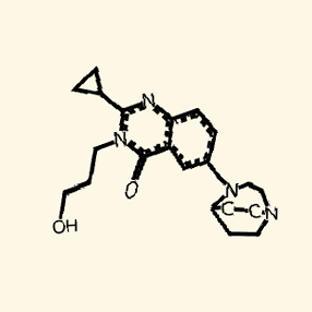 O=c1c2cc(N3CCN4CCC3CC4)ccc2nc(C2CC2)n1CCCO